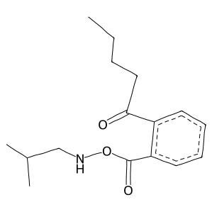 CCCCC(=O)c1ccccc1C(=O)ONCC(C)C